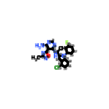 Cc1noc(-c2c(N)ncnc2NC(C)c2cc3c(Cl)cccc3n2-c2cccc(F)c2)n1